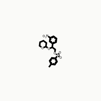 Cc1ccc(S(=O)(=O)OCC(OC2CCCCO2)c2cccc([N+](=O)[O-])c2)cc1